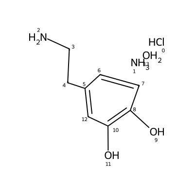 Cl.N.NCCc1ccc(O)c(O)c1.O